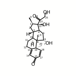 C[C@@H]1C[C@@H]2C(C[C@H](O)[C@@]3(F)[C@H]2CCC2=CC(=O)C=C[C@@]23C)[C@@]1(O)C(=O)CO